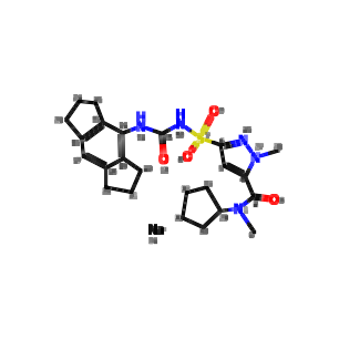 CN(C(=O)c1cc(S(=O)(=O)NC(=O)Nc2c3c(cc4c2CCC4)CCC3)nn1C)C1CCCC1.[Na]